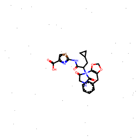 O=C(O)c1csc(NC(=O)C(CC2CC2)[N+]2(C3=C(Cc4ccccc4)OCO3)C(=O)CNC2=O)n1